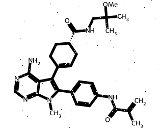 C=C(C)C(=O)Nc1ccc(-c2c(C3=CC[C@@H](C(=O)NCC(C)(C)OC)CC3)c3c(N)ncnc3n2C)cc1